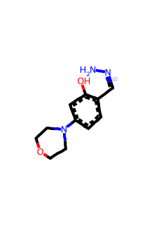 N/N=C\c1ccc(N2CCOCC2)cc1O